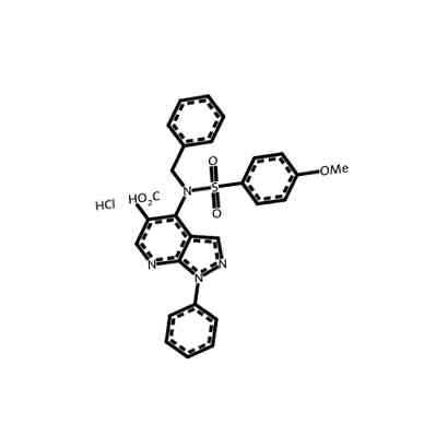 COc1ccc(S(=O)(=O)N(Cc2ccccc2)c2c(C(=O)O)cnc3c2cnn3-c2ccccc2)cc1.Cl